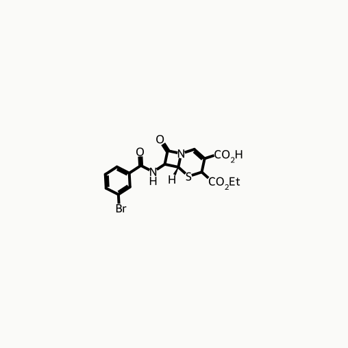 CCOC(=O)C1S[C@@H]2C(NC(=O)c3cccc(Br)c3)C(=O)N2C=C1C(=O)O